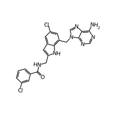 Nc1ncnc2c1ncn2Cc1cc(Cl)cc2cc(CNC(=O)c3cccc(Cl)c3)[nH]c12